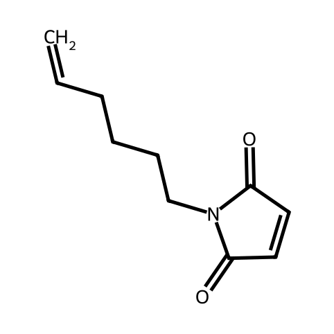 C=CCCCCN1C(=O)C=CC1=O